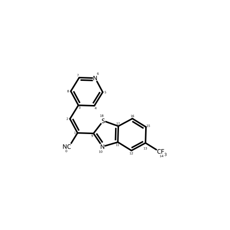 N#C/C(=C/c1ccncc1)c1nc2cc(C(F)(F)F)ccc2s1